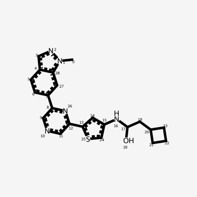 Cn1ncc2ccc(-c3cncc(-c4cc(NC(O)CC5CCC5)cs4)n3)cc21